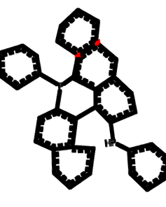 c1ccc(CP(c2ccccc2)c2ccc3ccccc3c2-c2c(Pc3ccccc3)ccc3ccccc23)cc1